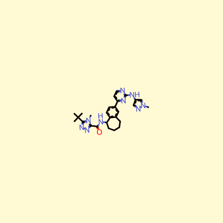 Cn1cc(Nc2nccc(-c3ccc4c(c3)CCCCC4NC(=O)c3nnc(C(C)(C)C)n3C)n2)cn1